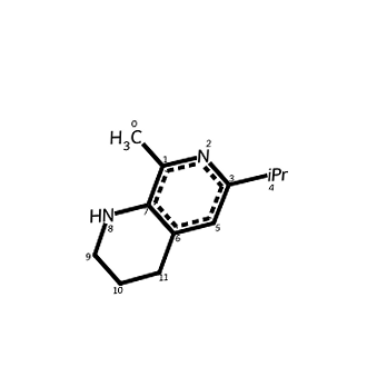 Cc1nc(C(C)C)cc2c1NCCC2